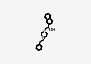 OC(CN1CCN(CCc2ccccc2)CC1)c1ccc2ccccc2c1